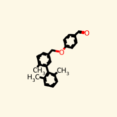 Cc1ccc(COc2ccc(C=O)cc2)cc1-c1c(C)cccc1C